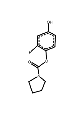 O=C(Oc1ccc(O)cc1F)N1CCCC1